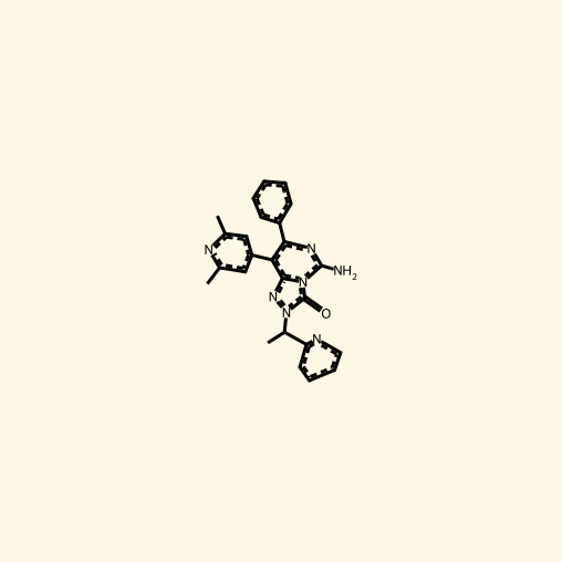 Cc1cc(-c2c(-c3ccccc3)nc(N)n3c(=O)n(C(C)c4ccccn4)nc23)cc(C)n1